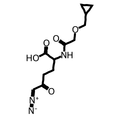 [N-]=[N+]=CC(=O)CCC(NC(=O)COCC1CC1)C(=O)O